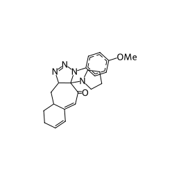 COc1ccc(N2N=NC3CC4CCC=CC4=CC(=O)C32N2CCCC2)cc1